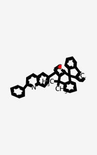 CC1(C)c2ccccc2C2(c3ccccc3-c3ccccc32)c2cccc(-c3ccc4nc(-c5ccccc5)ccc4c3)c21